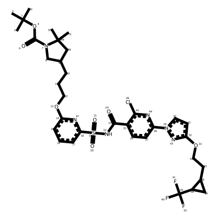 CC(C)(C)OC(=O)N1CC(CCCOc2cccc(S(=O)(=O)NC(=O)c3ccc(-n4ccc(OCCC5CC5C(F)(F)F)n4)nc3Cl)n2)CC1(C)C